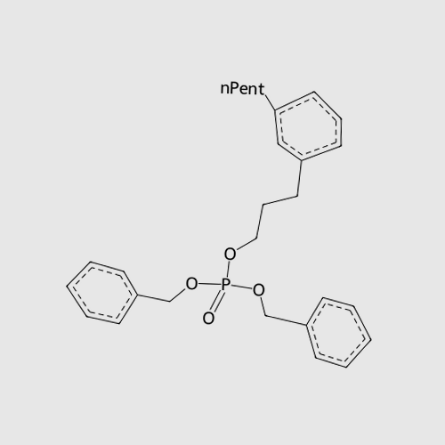 CCCCCc1cccc(CCCOP(=O)(OCc2ccccc2)OCc2ccccc2)c1